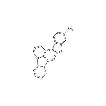 Bc1ccc2c(c1)oc1cc3c4c(cccc4c12)-c1ccccc1-3